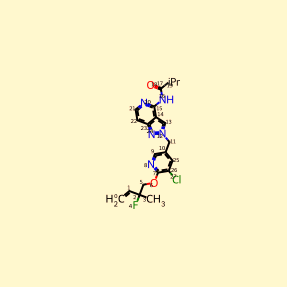 C=CC(C)(F)COc1ncc(Cn2cc3c(NC(=O)C(C)C)nccc3n2)cc1Cl